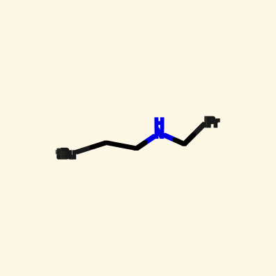 CC(C)CNCCC(C)(C)C